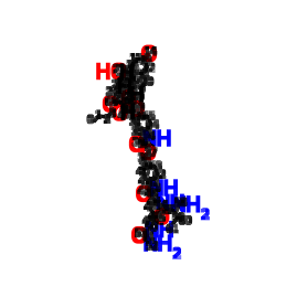 CCCC1O[C@@H]2C[C@H]3[C@@H]4CCC5=CC(=O)C=C[C@]5(C)[C@H]4[C@@H](O)C[C@]3(C)[C@]2(C(=O)COc2ccc(NC(=O)OCc3ccc(NC(=O)[C@H](CCCNC(N)=O)NC(=O)[C@@H](N)C(C)C)cc3)cc2)O1